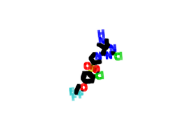 O=S(=O)(c1ccc(OCC(F)(F)F)cc1Cl)[C@H]1CCN(c2nc(Cl)nc3c2CNC3)C1